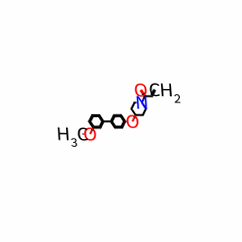 C=CC(=O)N1CCC(Oc2ccc(-c3cccc(OC)c3)cc2)CC1